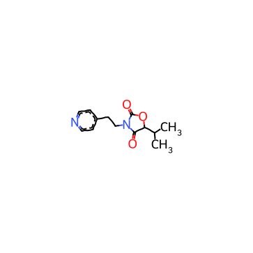 CC(C)C1OC(=O)N(CCc2ccncc2)C1=O